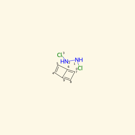 ClNNCl.c1cc2ccc1-2